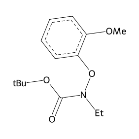 CCN(Oc1ccccc1OC)C(=O)OC(C)(C)C